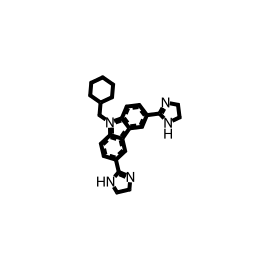 c1cc2c(cc1C1=NCCN1)c1cc(C3=NCCN3)ccc1n2CC1CCCCC1